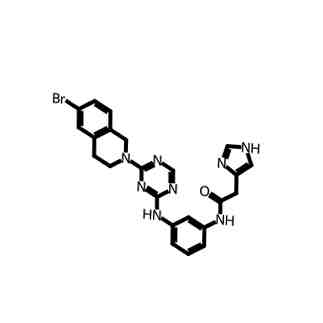 O=C(Cc1c[nH]cn1)Nc1cccc(Nc2ncnc(N3CCc4cc(Br)ccc4C3)n2)c1